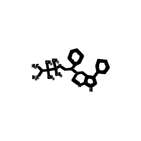 CC(C)C(C)(C)[Si](C)(C)OCN(c1ccccc1)N1C=Nc2[nH]cc(-c3ccccc3)c2C1